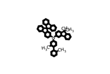 Cc1ccccc1-c1ccc(N(c2ccc3c(c2)-c2ccccc2C3(C)C)c2ccc3c(c2)C2(c4ccccc4-c4ccccc42)c2ccccc2-3)cc1C